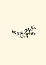 CC(C)[C@H](NC(=O)C1CCCC(C(=O)O)C1)C(=O)OC(C)(C)C